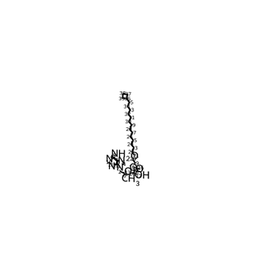 C[C@H](Cn1cnc2c(N)ncnc21)OCP(=O)(O)OCCOCCCCCCCCCCCCCCC1CCC1